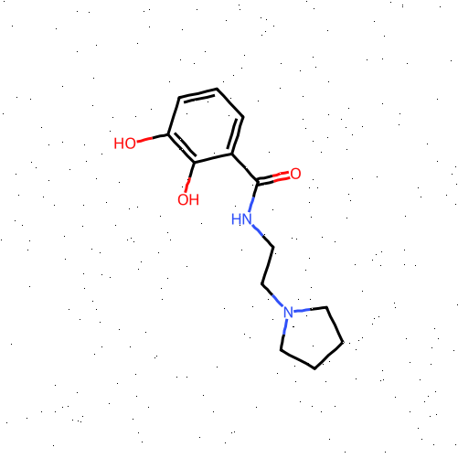 O=C(NCCN1CCCC1)c1cccc(O)c1O